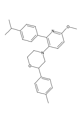 COc1ccc(N2CCOC(c3ccc(C)cc3)C2)c(-c2ccc(C(C)C)cc2)n1